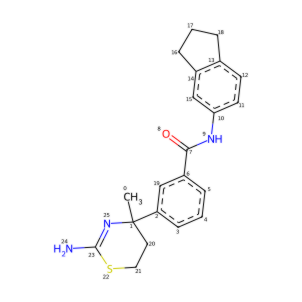 CC1(c2cccc(C(=O)Nc3ccc4c(c3)CCC4)c2)CCSC(N)=N1